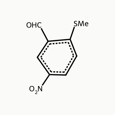 CSc1ccc([N+](=O)[O-])cc1C=O